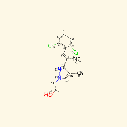 [C-]#[N+]C(=Cc1c(Cl)cccc1Cl)c1nn(CCO)cc1C#N